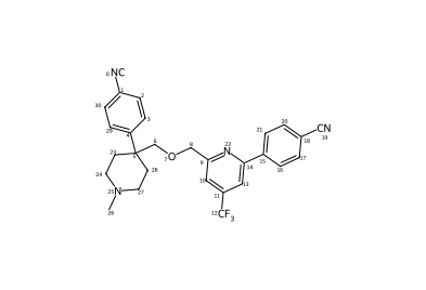 [C-]#[N+]c1ccc(C2(COCc3cc(C(F)(F)F)cc(-c4ccc(C#N)cc4)n3)CCN(C)CC2)cc1